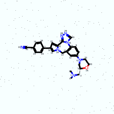 CN(C)C[C@@H]1CN(c2ccc3c(c2)Cn2cc(-c4ccc(C#N)cc4)cc2-c2nncn2-3)CCO1